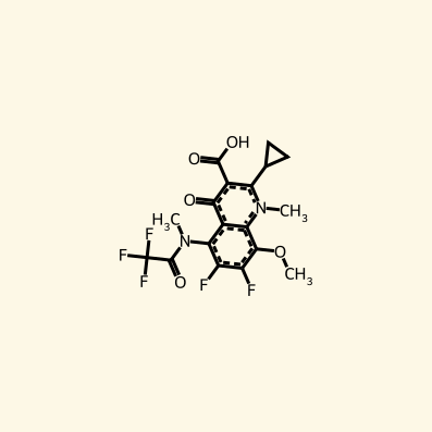 COc1c(F)c(F)c(N(C)C(=O)C(F)(F)F)c2c(=O)c(C(=O)O)c(C3CC3)n(C)c12